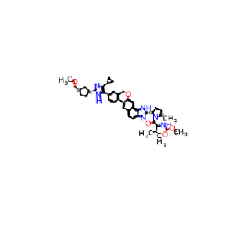 COC[C@@H]1CC[C@H](c2nc(C3CC3)c(-c3ccc4c(c3)COc3cc5c(ccc6nc([C@@H]7CC[C@H](C)N7C(=O)[C@@H](NC(=O)OC)C(C)C)[nH]c65)cc3-4)[nH]2)C1